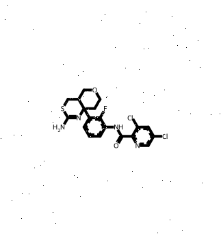 NC1=NC2(c3cccc(NC(=O)c4ncc(Cl)cc4Cl)c3F)CCOCC2CS1